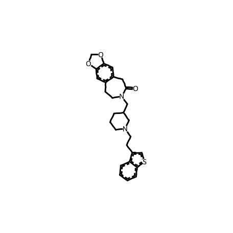 O=C1Cc2cc3c(cc2CCN1CC1CCCN(CCc2csc4ccccc24)C1)OCO3